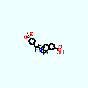 CN1CC[C@@]2(C)c3cc(C(=O)O)ccc3C[C@@H]1[C@@H]2NCCc1ccc(S(C)(=O)=O)cc1